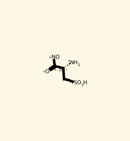 N[C@H](CS(=O)(=O)O)C(=O)N=O